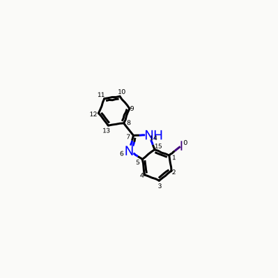 Ic1cccc2nc(-c3ccccc3)[nH]c12